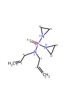 C=CCN(CC=C)P(=S)(N1CC1)N1CC1